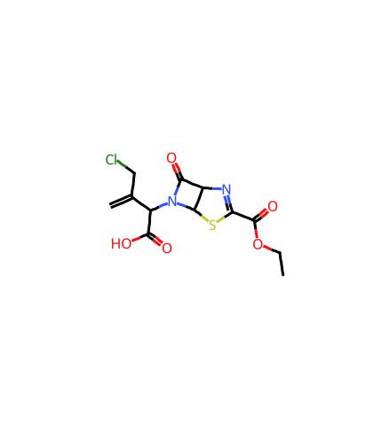 C=C(CCl)C(C(=O)O)N1C(=O)C2N=C(C(=O)OCC)SC21